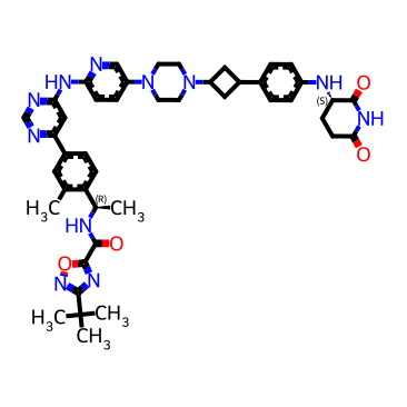 Cc1cc(-c2cc(Nc3ccc(N4CCN(C5CC(c6ccc(N[C@H]7CCC(=O)NC7=O)cc6)C5)CC4)cn3)ncn2)ccc1[C@@H](C)NC(=O)c1nc(C(C)(C)C)no1